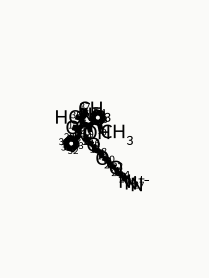 CCc1cccc2c1C(O)=C(C(=O)N(CCOCCOCCOCCN=[N+]=[N-])c1ccccc1)C(O)N2C